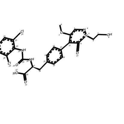 COc1cnn(CCO)c(=O)c1-c1ccc(C[C@H](NC(=O)Nc2c(Cl)cccc2Cl)C(=O)O)cc1